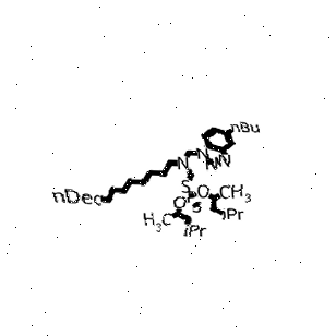 CCCCCCCCCCCCCCCCCCN(CSP(=S)(OC(C)CC(C)C)OC(C)CC(C)C)Cn1nnc2cc(CCCC)ccc21